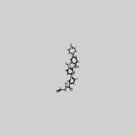 COc1cc(N2CCN(C)CC2)ccc1Nc1nccc(-n2ccc(C(=O)NCC#N)c2)n1